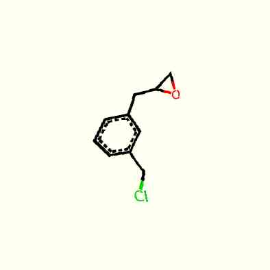 ClCc1cccc(CC2CO2)c1